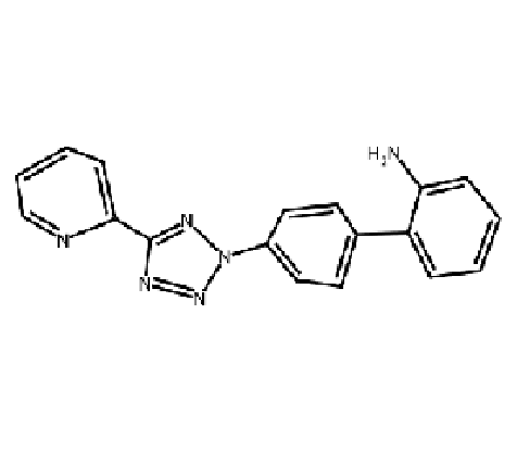 Nc1ccccc1-c1ccc(-n2nnc(-c3ccccn3)n2)cc1